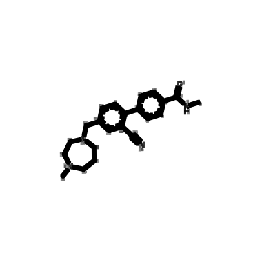 CNC(=O)c1ccc(-c2ccc(CN3CCCN(C)CC3)cc2C#N)cc1